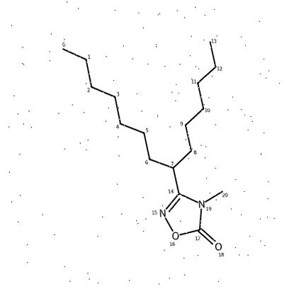 CCCCCCCC(CCCCCC)c1noc(=O)n1C